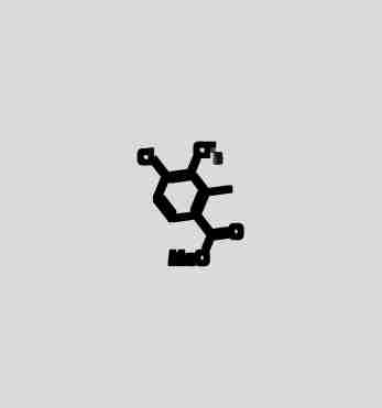 COC(=O)c1ccc(Cl)c(C(F)(F)F)c1C